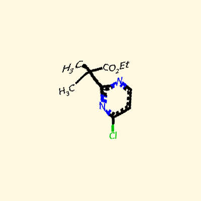 CCOC(=O)C(C)(C)c1nccc(Cl)n1